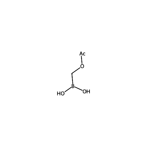 CC(=O)OCB(O)O